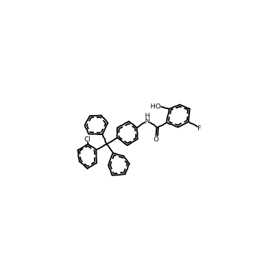 O=C(Nc1ccc(C(c2ccccc2)(c2ccccc2)c2ccccc2Cl)cc1)c1cc(F)ccc1O